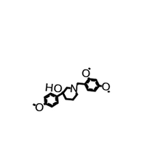 COc1ccc(C2(O)CCCN(Cc3ccc(OC)cc3OC)C2)cc1